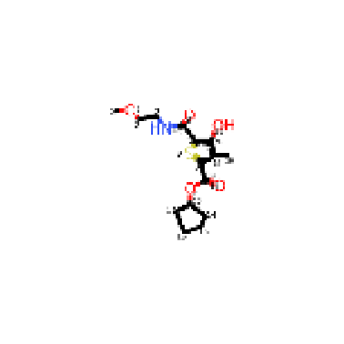 COCCNC(=O)c1sc(C(=O)OC2CCCC2)c(C)c1O